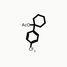 CC(=O)OC1(c2ccc(C(F)(F)F)cc2)CCCCC1